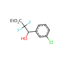 CCOC(=O)C(F)(F)C(O)c1cccc(Cl)c1